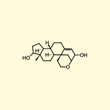 C[C@]12CC[C@H]3[C@@H](CCC4=CC(O)C5C[C@@]43CCO5)[C@@H]1CCC2O